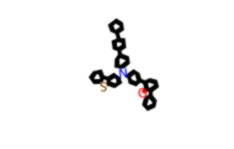 c1ccc(-c2ccc(-c3ccc(N(c4ccc(-c5cccc6c5oc5ccccc56)cc4)c4ccc5sc6ccccc6c5c4)cc3)cc2)cc1